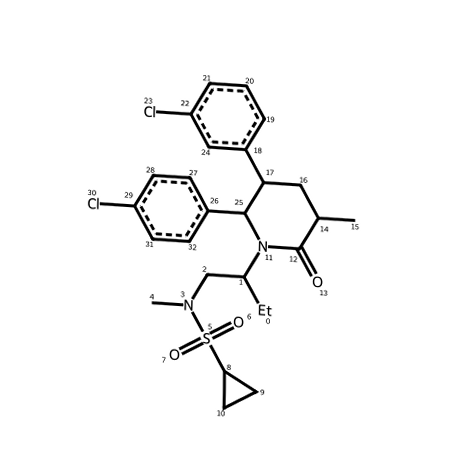 CCC(CN(C)S(=O)(=O)C1CC1)N1C(=O)C(C)CC(c2cccc(Cl)c2)C1c1ccc(Cl)cc1